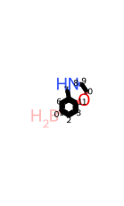 Bc1ccc2c(c1)CNCCO2